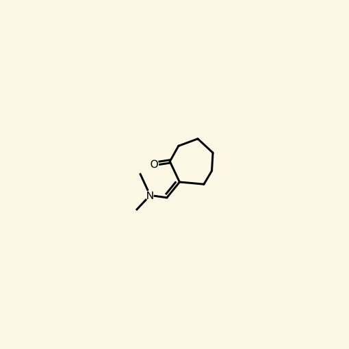 CN(C)C=C1CCCCCC1=O